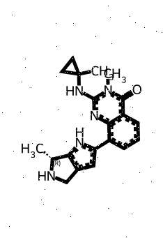 C[C@H]1NCc2cc(-c3cccc4c(=O)n(C)c(NC5(C)CC5)nc34)[nH]c21